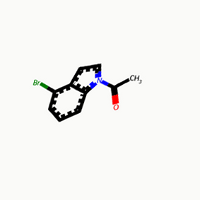 CC(=O)n1ccc2c(Br)cccc21